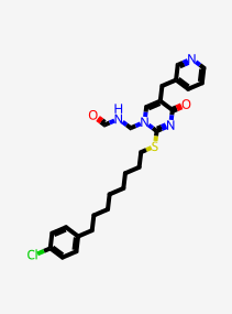 O=CNCn1cc(Cc2cccnc2)c(=O)nc1SCCCCCCCCc1ccc(Cl)cc1